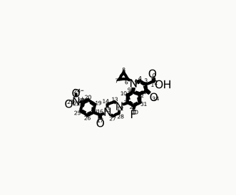 O=C(O)c1cn(C2CC2)c2cc(N3CCN(C(=O)c4ccc([N+](=O)[O-])cc4)CC3)c(F)cc2c1=O